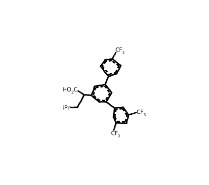 CC(C)CC(C(=O)O)c1cc(-c2ccc(C(F)(F)F)cc2)cc(-c2cc(C(F)(F)F)cc(C(F)(F)F)c2)c1